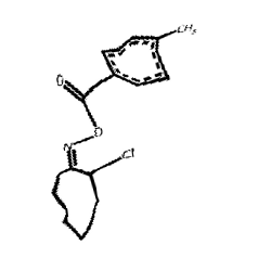 Cc1ccc(C(=O)ON=C2CCCCC2Cl)cc1